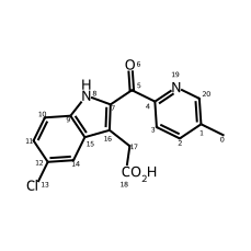 Cc1ccc(C(=O)c2[nH]c3ccc(Cl)cc3c2CC(=O)O)nc1